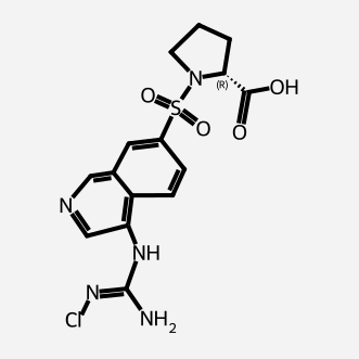 NC(=NCl)Nc1cncc2cc(S(=O)(=O)N3CCC[C@@H]3C(=O)O)ccc12